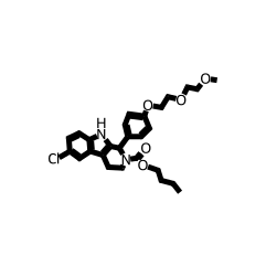 CCCCOC(=O)N1CCc2c([nH]c3ccc(Cl)cc23)C1c1ccc(OCCOCCOC)cc1